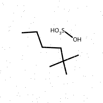 CCCCC(C)(C)C.O=S(=O)(O)O